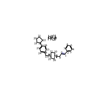 C(=C\c1ccccc1)/CN1CCN(Cc2ccc(C3CCCC3)cc2)CC1.Cl.Cl